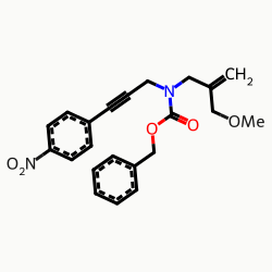 C=C(COC)CN(CC#Cc1ccc([N+](=O)[O-])cc1)C(=O)OCc1ccccc1